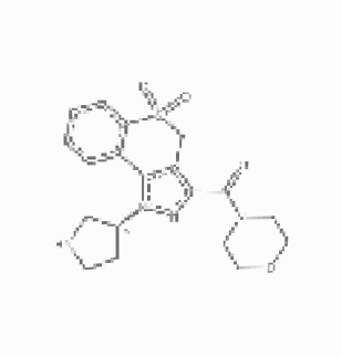 O=C(c1nn([C@H]2CCNC2)c2c1CS(=O)(=O)c1ccccc1-2)N1CCOCC1